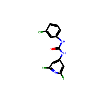 O=C(Nc1cccc(Cl)c1)Nc1cc(F)nc(F)c1